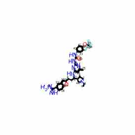 CCN1CCC(C(CCc2cc3cc(C(=N)N)ccc3o2)Nc2cc(C)nc(NC(=O)Nc3ccc(OC(F)(F)F)cc3)n2)C1